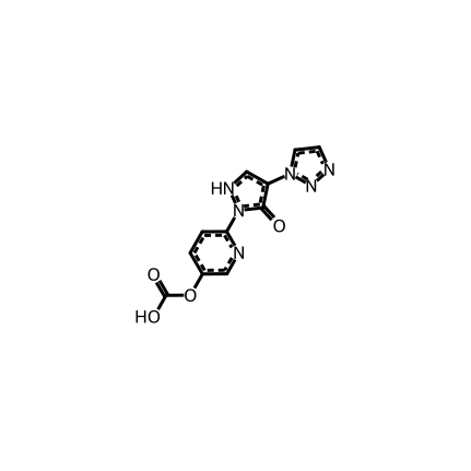 O=C(O)Oc1ccc(-n2[nH]cc(-n3ccnn3)c2=O)nc1